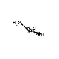 CCCCCCCC1CCC2CC(C#N)(CCCCCCC)CCC2C1